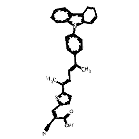 C/C(=C\C=C(/C)c1ccc(/C=C(/C#N)C(=O)O)s1)c1ccc(-n2c3c(c4ccccc42)CCC=C3)cc1